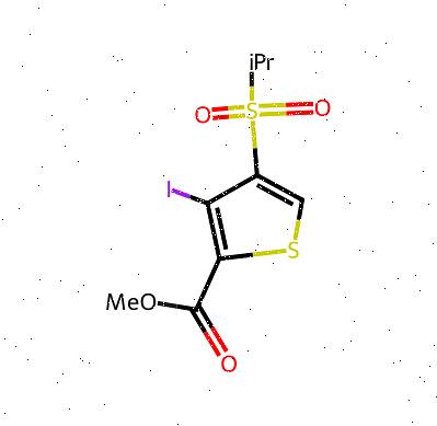 COC(=O)c1scc(S(=O)(=O)C(C)C)c1I